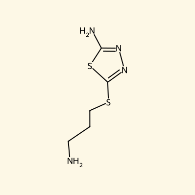 NCCCSc1nnc(N)s1